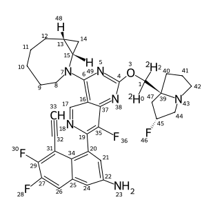 [2H]C([2H])(Oc1nc(N2CCCCC[C@@H]3C[C@@H]32)c2cnc(-c3cc(N)cc4cc(F)c(F)c(C#C)c34)c(F)c2n1)[C@@]12CCCN1C[C@H](F)C2